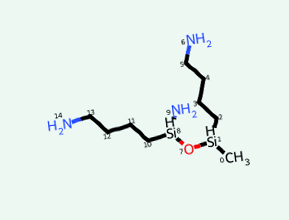 C[SiH](CCCCN)O[SiH](N)CCCCN